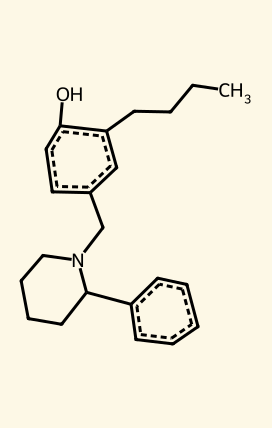 CCCCc1cc(CN2CCCCC2c2ccccc2)ccc1O